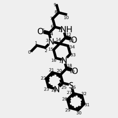 CCCN1C(=O)C(CC(C)C)NC(=O)C12CCN(C(=O)c1cccnc1Sc1ccccc1)CC2